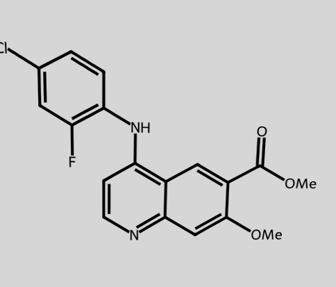 COC(=O)c1cc2c(Nc3ccc(Cl)cc3F)ccnc2cc1OC